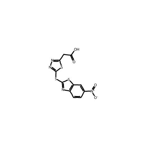 O=C(O)Cc1nnc(Sc2nc3ccc([N+](=O)[O-])cc3s2)s1